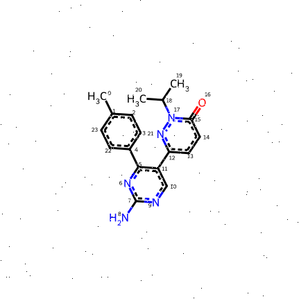 Cc1ccc(-c2nc(N)ncc2-c2ccc(=O)n(C(C)C)n2)cc1